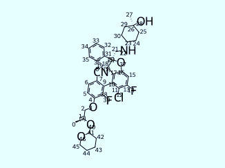 C[C@@H](COc1ccc(C#N)c(-c2c(Cl)c(F)cc3c2[C@H](C)[C@@](CN[C@H]2CC[C@](C)(O)CC2)(c2ccccc2)O3)c1F)OC1CCCCO1